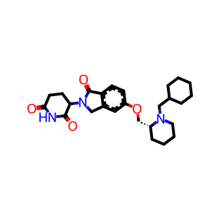 O=C1CCC(N2Cc3cc(OC[C@H]4CCCCN4CC4CCCCC4)ccc3C2=O)C(=O)N1